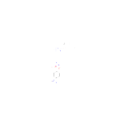 C=CC(=O)NC1CC2CN(S(=O)(=O)c3ccc4ncsc4c3)CC2C1